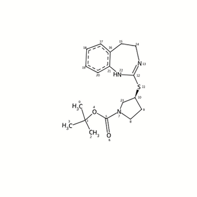 CC(C)(C)OC(=O)N1CC[C@H](SC2=NCCc3ccccc3N2)C1